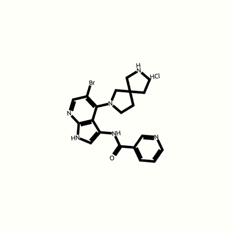 Cl.O=C(Nc1c[nH]c2ncc(Br)c(N3CCC4(CCNC4)C3)c12)c1cccnc1